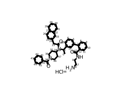 CC(c1cccc(-c2ccccc2C(=O)NCCN)c1)N(C(=O)Cc1ccc2ccccc2c1)C1CCN(C(=O)c2ccccc2)CC1.Cl